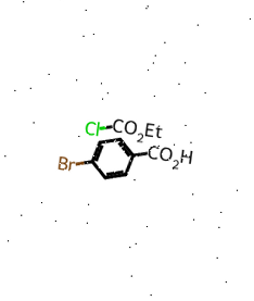 CCOC(=O)Cl.O=C(O)c1ccc(Br)cc1